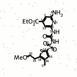 CCOC(=O)c1cc(N)nc(NC(=O)NS(=O)(=O)c2cc(C)c(CCOC)s2)c1